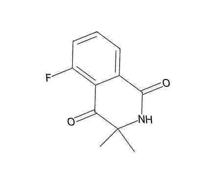 CC1(C)NC(=O)c2cccc(F)c2C1=O